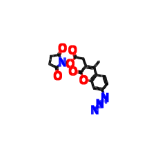 Cc1c(CC(=O)ON2C(=O)CCC2=O)c(=O)oc2cc(N=[N+]=[N-])ccc12